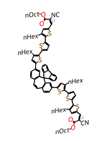 [C-]#[N+]/C(=C/c1cc(CCCCCC)c(-c2ccc(-c3sc(-c4ccc5c(c4)C4(c6cc(-c7cc(CCCCCC)c(-c8ccc(-c9sc(/C=C(/C#N)C(=O)OCCCCCCCC)cc9CCCCCC)s8)s7)ccc6C=C5)c5ccccc5-c5ccccc54)cc3CCCCCC)s2)s1)C(=O)OCCCCCCCC